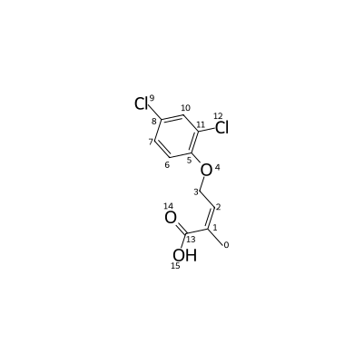 CC(=CCOc1ccc(Cl)cc1Cl)C(=O)O